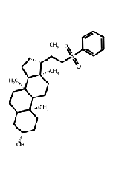 C[C@H](CS(=O)(=O)c1ccccc1)[C@H]1CCC2[C@]3(C)CCC4C[C@@H](O)CC[C@]4(C)C3CC[C@@]21C